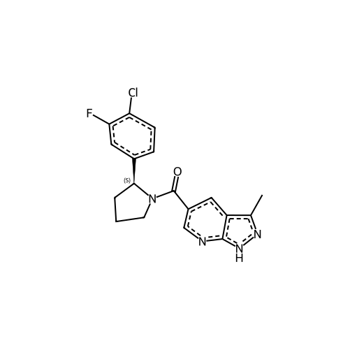 Cc1n[nH]c2ncc(C(=O)N3CCC[C@H]3c3ccc(Cl)c(F)c3)cc12